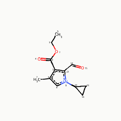 CCOC(=O)c1c(C)cn(C2CC2)c1C=O